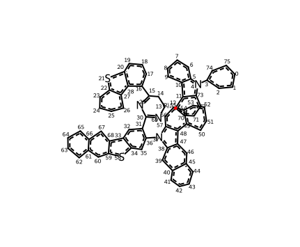 c1ccc(-n2c3ccccc3c3c([C@H]4CC(c5cccc6sc7ccccc7c56)=NC(c5cc6c(cc5-n5c7cc8ccccc8cc7c7c8ccccc8ccc75)sc5cc7ccccc7cc56)=N4)cccc32)cc1